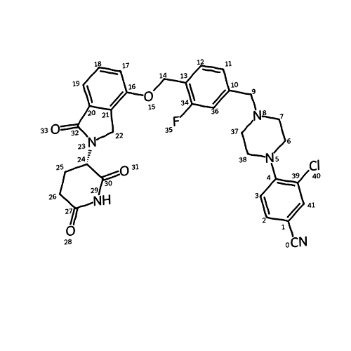 N#Cc1ccc(N2CCN(Cc3ccc(COc4cccc5c4CN([C@H]4CCC(=O)NC4=O)C5=O)c(F)c3)CC2)c(Cl)c1